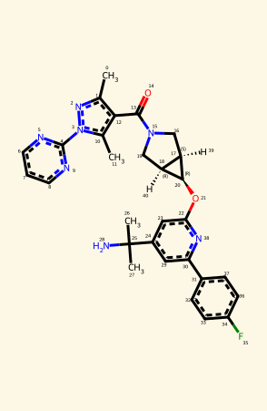 Cc1nn(-c2ncccn2)c(C)c1C(=O)N1C[C@@H]2[C@H](C1)[C@@H]2Oc1cc(C(C)(C)N)cc(-c2ccc(F)cc2)n1